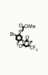 COC(=O)CSc1cc(-n2c(=O)cc(C(F)(F)F)n(C)c2=O)c(F)cc1Br